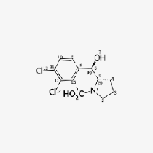 O=C(O)N1CCC[C@H]1[C@H](O)c1ccc(Cl)c(Cl)c1